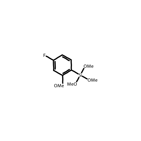 COc1cc(F)ccc1[Si](OC)(OC)OC